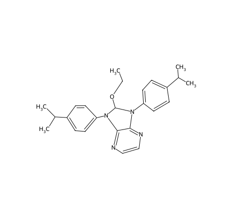 CCOC1N(c2ccc(C(C)C)cc2)c2nccnc2N1c1ccc(C(C)C)cc1